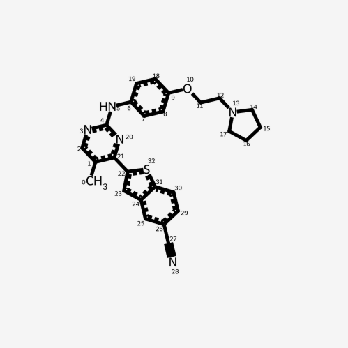 Cc1cnc(Nc2ccc(OCCN3CCCC3)cc2)nc1-c1cc2cc(C#N)ccc2s1